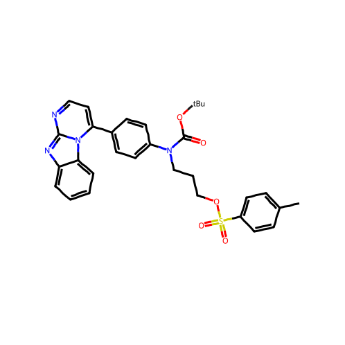 Cc1ccc(S(=O)(=O)OCCCN(C(=O)OC(C)(C)C)c2ccc(-c3ccnc4nc5ccccc5n34)cc2)cc1